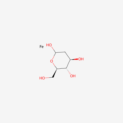 OC[C@H]1OC(O)C[C@@H](O)[C@@H]1O.[Fe]